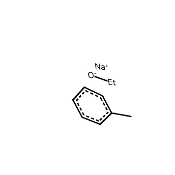 CC[O-].Cc1ccccc1.[Na+]